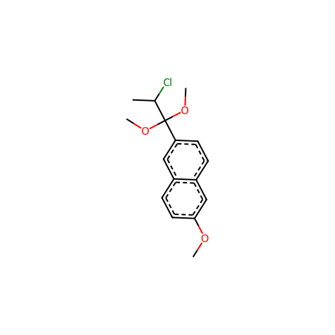 COc1ccc2cc(C(OC)(OC)C(C)Cl)ccc2c1